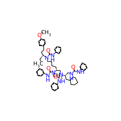 CC[C@@H](CCc1ccc(OC)cc1)N(CCCC[C@@H](CN(C(=O)Nc1ccccc1)[C@@H](CNC(=O)Nc1ccccc1)CC1CCCCC1)N(C)C(=O)Nc1ccccc1)C(=O)Nc1ccccc1